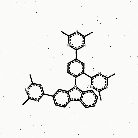 Cc1nc(C)nc(-c2ccc(-n3c4ccccc4c4ccc(-c5nc(C)nc(C)n5)cc43)c(-c3nc(C)nc(C)n3)c2)n1